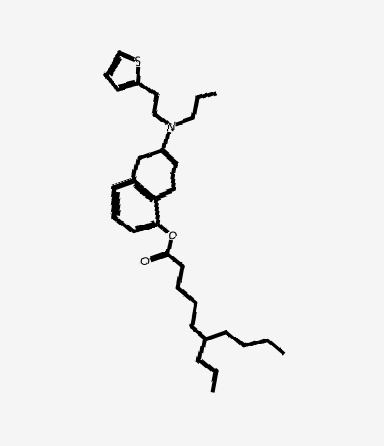 CCCCC(CCC)CCCCC(=O)Oc1cccc2c1CCC(N(CCC)CCc1cccs1)C2